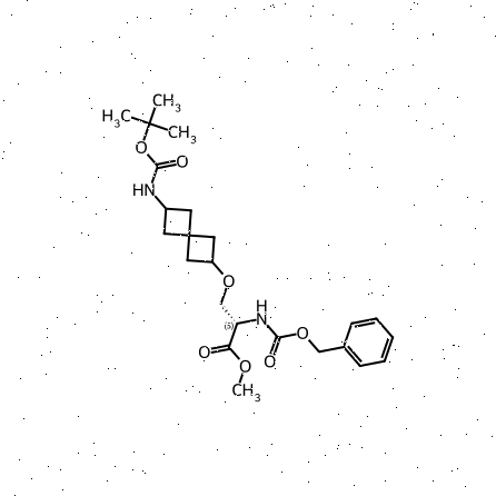 COC(=O)[C@H](COC1CC2(CC(NC(=O)OC(C)(C)C)C2)C1)NC(=O)OCc1ccccc1